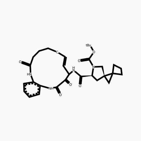 CC(C)(C)OC(=O)N1C[C@]2(C[C@H]1C(=O)NC1/C=C/CCCCC(=O)Nc3ccccc3NC(=O)C1=O)CC21CCC1